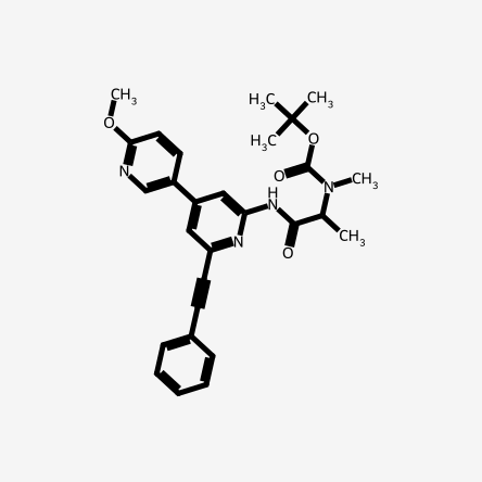 COc1ccc(-c2cc(C#Cc3ccccc3)nc(NC(=O)C(C)N(C)C(=O)OC(C)(C)C)c2)cn1